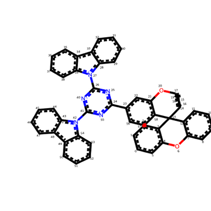 c1ccc2c(c1)Oc1ccccc1C21c2ccccc2Oc2cc(-c3nc(-n4c5ccccc5c5ccccc54)nc(-n4c5ccccc5c5ccccc54)n3)ccc21